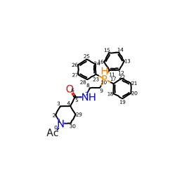 CC(=O)N1CCC(C(=O)NCC[PH](c2ccccc2)(c2ccccc2)c2ccccc2)CC1